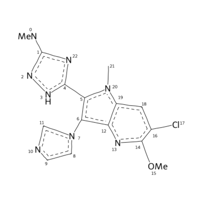 CNc1n[nH]c(-c2c(-n3ccnc3)c3nc(OC)c(Cl)cc3n2C)n1